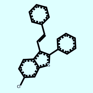 Clc1ccc2c(C=Cc3ccccc3)c(-c3ccccc3)sc2c1